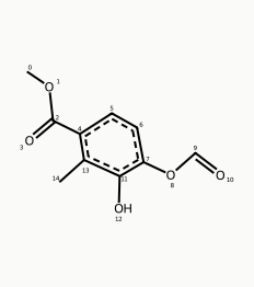 COC(=O)c1ccc(OC=O)c(O)c1C